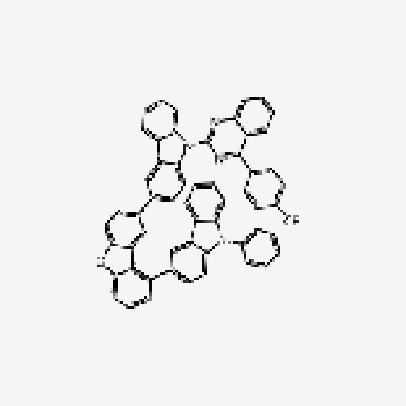 FC(F)(F)c1ccc(-c2nc(-n3c4ccccc4c4cc(-c5ccc6oc7cccc(-c8ccc9c(c8)c8ccccc8n9-c8ccccc8)c7c6c5)ccc43)nc3ccccc23)cc1